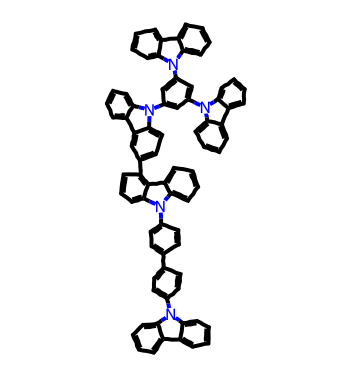 c1ccc2c(c1)c1ccccc1n2-c1ccc(-c2ccc(-n3c4ccccc4c4c(-c5ccc6c(c5)c5ccccc5n6-c5cc(-n6c7ccccc7c7ccccc76)cc(-n6c7ccccc7c7ccccc76)c5)cccc43)cc2)cc1